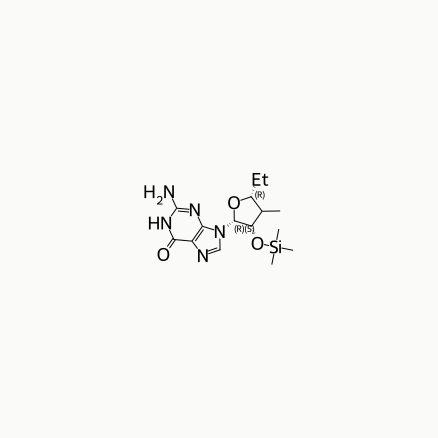 CC[C@H]1O[C@@H](n2cnc3c(=O)[nH]c(N)nc32)[C@@H](O[Si](C)(C)C)C1C